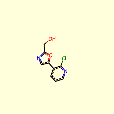 OCc1ncc(-c2cccnc2Cl)o1